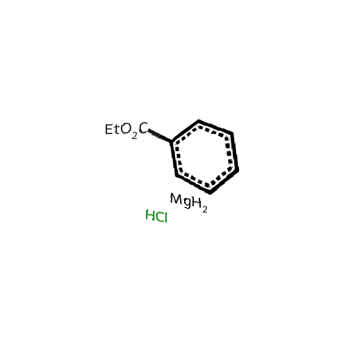 CCOC(=O)c1ccccc1.Cl.[MgH2]